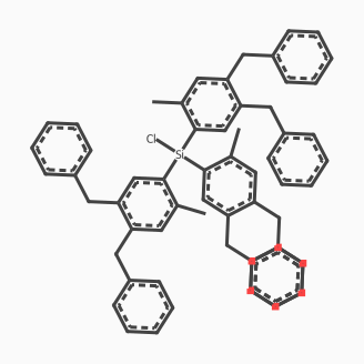 Cc1cc(Cc2ccccc2)c(Cc2ccccc2)cc1[Si](Cl)(c1cc(Cc2ccccc2)c(Cc2ccccc2)cc1C)c1cc(Cc2ccccc2)c(Cc2ccccc2)cc1C